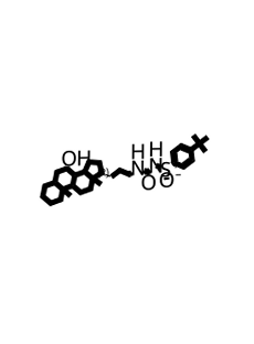 CC(C)(C)c1ccc([S+]([O-])NC(=O)NCCC[C@H]2CCC3C4C(O)CC5CCCCC5(C)C4CCC32C)cc1